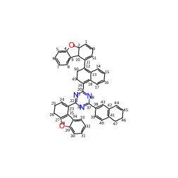 C1=CC2Oc3ccccc3C2C(C2=c3ccccc3=C(c3nc(C4=CCCc5oc6ccccc6c54)nc(-c4ccc5c(c4)C=CCC5)n3)CC2)=C1